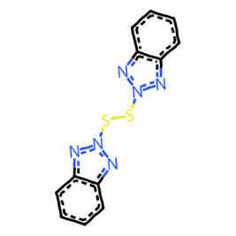 c1ccc2nn(SSn3nc4ccccc4n3)nc2c1